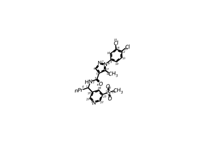 CCCC(NC(=O)c1cnn(-c2ccc(Cl)c(Cl)c2)c1C)c1cncc(S(C)(=O)=O)c1